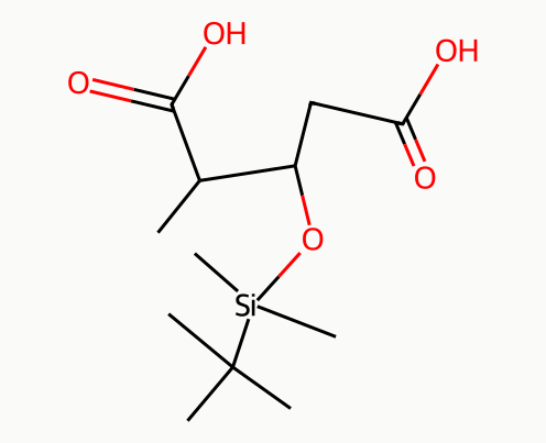 CC(C(=O)O)C(CC(=O)O)O[Si](C)(C)C(C)(C)C